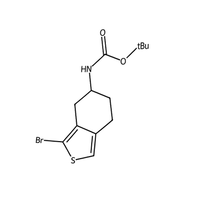 CC(C)(C)OC(=O)NC1CCc2csc(Br)c2C1